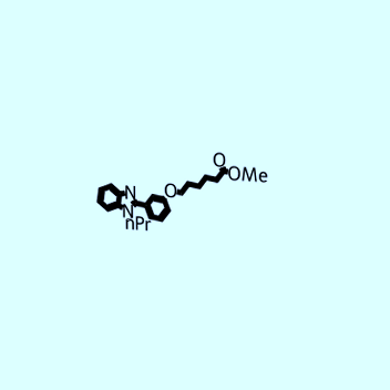 CCCn1c(-c2cccc(OCCCCCC(=O)OC)c2)nc2ccccc21